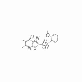 COc1ccccc1-c1noc(-c2sc3nc(C)c(C)c(C)c3c2N)n1